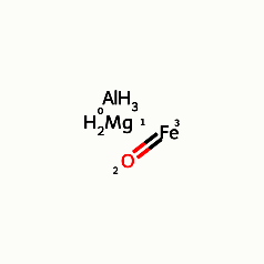 [AlH3].[MgH2].[O]=[Fe]